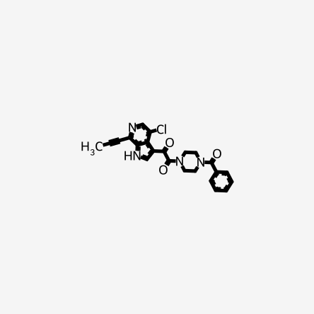 CC#Cc1ncc(Cl)c2c(C(=O)C(=O)N3CCN(C(=O)c4ccccc4)CC3)c[nH]c12